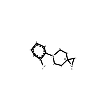 CC(C)c1ccccc1N1CCC2(CC1)CO2